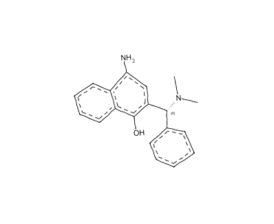 CN(C)[C@H](c1ccccc1)c1cc(N)c2ccccc2c1O